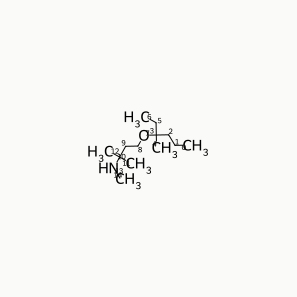 CCCC(C)(CC)OCCC(C)(C)NC